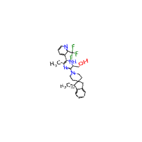 CC1=C(c2cccnc2C(F)(F)F)NC(CO)C(N2CCC3(CC2)Cc2ccccc2[C@H]3C)=N1